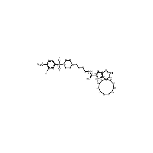 COc1ccc(S(=O)(=O)N2CCC(CCCCNC(=O)c3cc4c([nH]3)C3(CCCCCCCCCC3)CNC4)CC2)cc1F